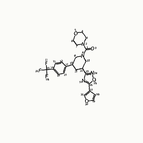 O=C(N1CCOCC1)N1CC(c2ccc(C(F)(F)F)cc2)CC(c2noc(-c3ccoc3)n2)C1